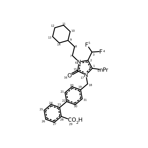 CCCc1c(C(F)F)n(CCC2CCCCC2)c(=O)n1Cc1ccc(-c2ccccc2C(=O)O)cc1